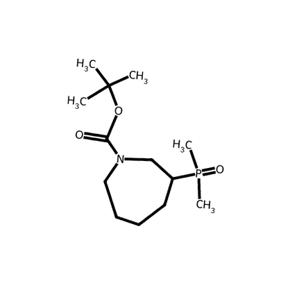 CC(C)(C)OC(=O)N1CCCCC(P(C)(C)=O)C1